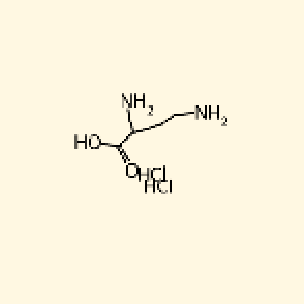 Cl.Cl.NCCC(N)C(=O)O